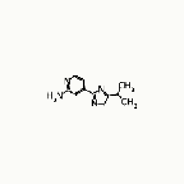 CC(C)C1=NC(c2ccnc(N)c2)=NC1